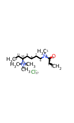 C=CC(=O)N(C)CCCCC(CC)[N+](C)(C)C.[Cl-]